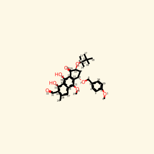 COc1ccc(CO[C@H]2C[C@H](O[Si](C)(C)C(C)(C)C)C(=O)c3c2c(OC)c2cc(C)c(C=O)c(O)c2c3O)cc1